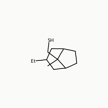 CCC1CC2CCC(C1)C2(C)CS